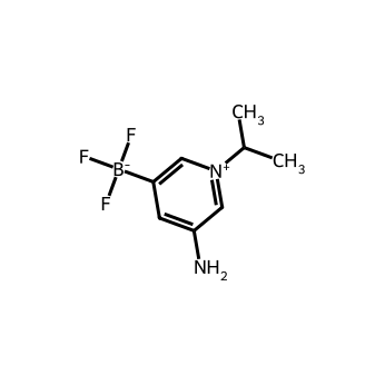 CC(C)[n+]1cc(N)cc([B-](F)(F)F)c1